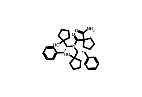 NC(=O)C1(C(=O)N([C@H](Cc2ccccc2)C2(O)CCCC2)[C@H](Cc2ccccc2)C2(O)CCCC2)CCCC1